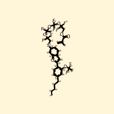 C=C(C)C(=O)OCC(F)(F)OC(F)(F)OC(F)(F)OC(F)(F)CSc1ccc2cc(-c3ccc(CCCCC)cc3OC(F)(F)F)oc2c1